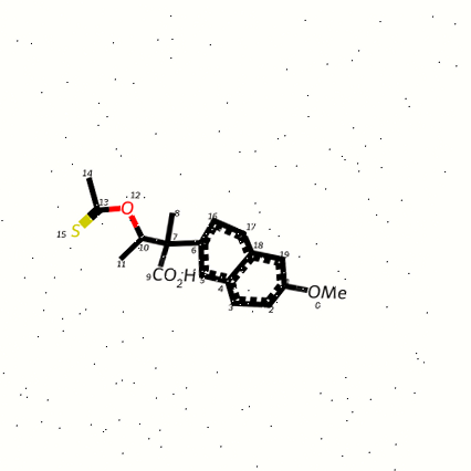 COc1ccc2cc(C(C)(C(=O)O)C(C)OC(C)=S)ccc2c1